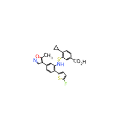 Cc1oncc1-c1ccc(-c2ccc(F)s2)c(NSc2cc(C(=O)O)ccc2C2CC2)c1